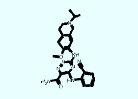 COc1cc2c(cc1Nc1nnc(C(N)=O)c(Nc3ccccc3C#N)n1)CN(C(C)C)CC2